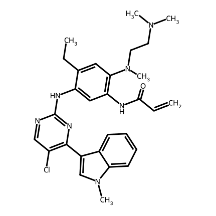 C=CC(=O)Nc1cc(Nc2ncc(Cl)c(-c3cn(C)c4ccccc34)n2)c(CC)cc1N(C)CCN(C)C